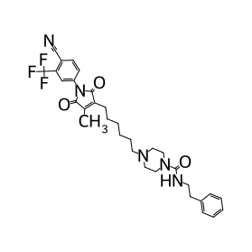 CC1=C(CCCCCCN2CCN(C(=O)NCCc3ccccc3)CC2)C(=O)N(c2ccc(C#N)c(C(F)(F)F)c2)C1=O